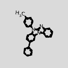 Cc1ccc(-n2c3ccc(-c4ccccc4)cc3n3c4ccccc4nc23)cc1